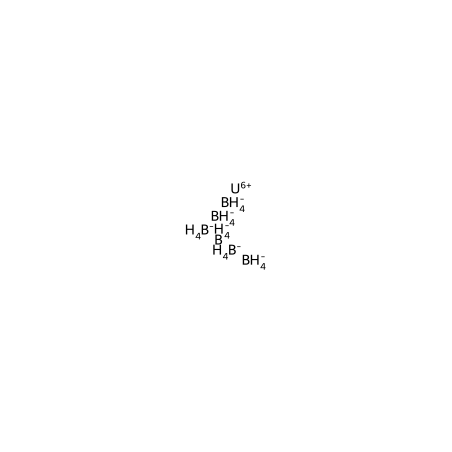 [BH4-].[BH4-].[BH4-].[BH4-].[BH4-].[BH4-].[U+6]